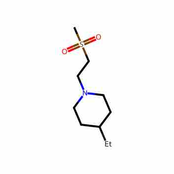 [CH2]CC1CCN(CCS(C)(=O)=O)CC1